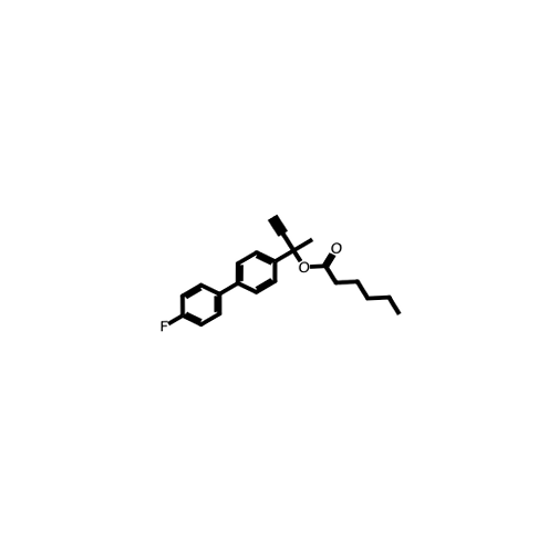 C#CC(C)(OC(=O)CCCCC)c1ccc(-c2ccc(F)cc2)cc1